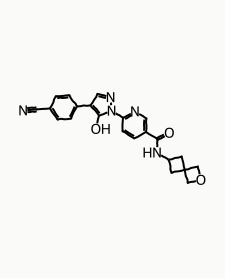 N#Cc1ccc(-c2cnn(-c3ccc(C(=O)NC4CC5(COC5)C4)cn3)c2O)cc1